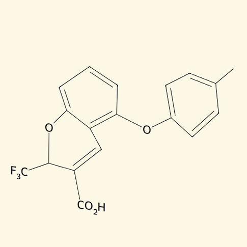 Cc1ccc(Oc2cccc3c2C=C(C(=O)O)C(C(F)(F)F)O3)cc1